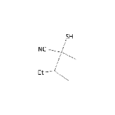 CCC(C)C(C)(S)C#N